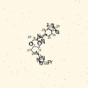 CC(C)c1nc(N2CCC(O[C@H](C)c3nc(-c4ccc(S(C)(=O)=O)c(F)c4)no3)CC2)no1